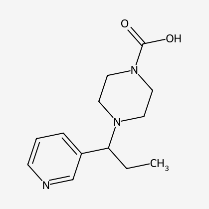 CCC(c1cccnc1)N1CCN(C(=O)O)CC1